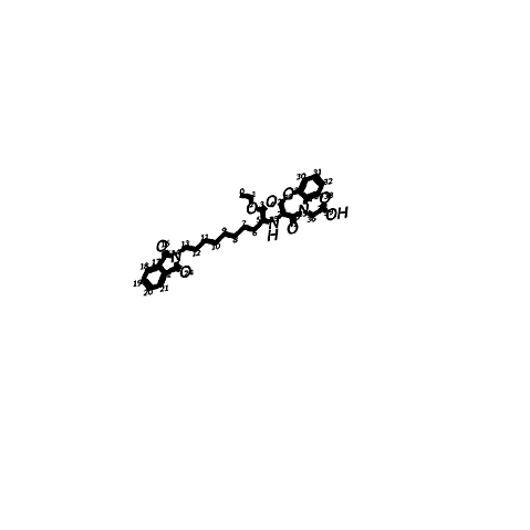 CCOC(=O)C(CCCCCCCCN1C(=O)c2ccccc2C1=O)N[C@H]1COc2ccccc2N(CC(=O)O)C1=O